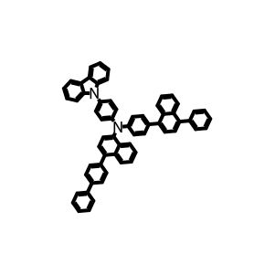 c1ccc(-c2ccc(-c3ccc(N(c4ccc(-c5ccc(-c6ccccc6)c6ccccc56)cc4)c4ccc(-n5c6ccccc6c6ccccc65)cc4)c4ccccc34)cc2)cc1